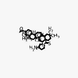 CC1(C)CC[C@]2(C(=S)N3CC[C@@H](N)C3)CC[C@]3(C)C(=C2C1)CC[C@@H]1[C@@]2(C)CC[C@H](C4CO4)C(C)(C)[C@@H]2CC[C@]13C